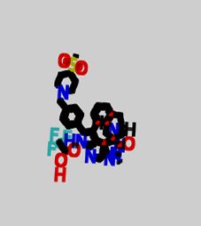 CN1C(=O)C2(C[C@H]3CC[C@@H](C2)N3c2ccncn2)c2c1cnc1[nH]c(-c3ccc(CN4CCC(S(C)(=O)=O)CC4)cc3)c(-c3ccccc3)c21.O=C(O)C(F)(F)F